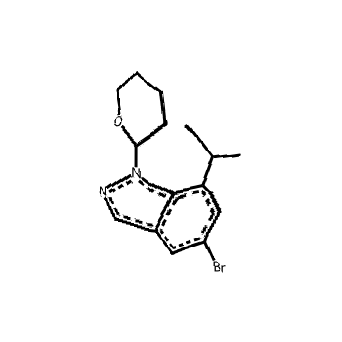 CC(C)c1cc(Br)cc2cnn(C3CCCCO3)c12